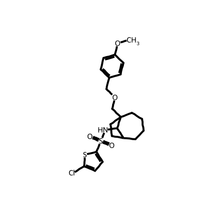 COc1ccc(COCC23CCCCC(CC2)C3NS(=O)(=O)c2ccc(Cl)s2)cc1